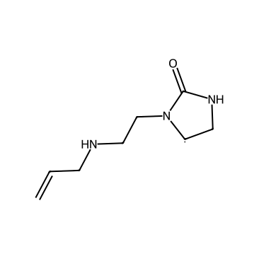 C=CCNCCN1[CH]CNC1=O